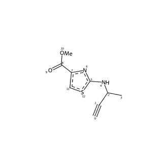 C#CC(C)Nc1nc(C(=O)OC)cs1